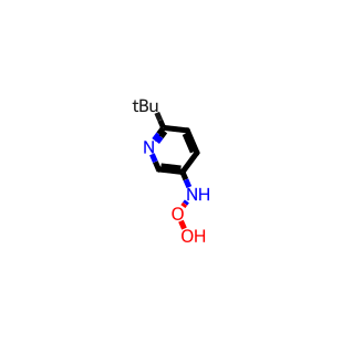 CC(C)(C)c1ccc(NOO)cn1